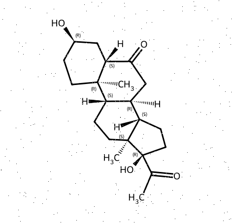 CC(=O)[C@@]1(O)CC[C@H]2[C@@H]3CC(=O)[C@H]4C[C@H](O)CC[C@]4(C)[C@H]3CC[C@@]21C